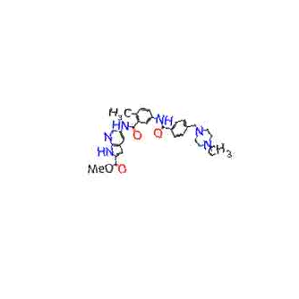 COC(=O)c1cc2cc(NC(=O)c3cc(NC(=O)c4ccc(CN5CCN(C)CC5)cc4)ccc3C)cnc2[nH]1